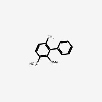 CNc1c(C(=O)O)ccc(C)c1-c1ccccc1